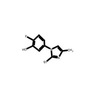 CCc1nc(C)cn1-c1ccc(F)c(O)c1